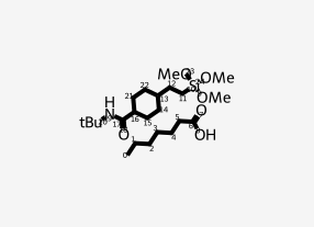 CCCCCCC(=O)O.CO[Si](CCC1CCC(C(=O)NC(C)(C)C)CC1)(OC)OC